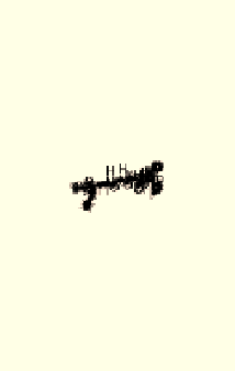 CC(C)(C)[C@H](c1cc(-c2cc(F)ccc2F)cn1Cc1ccccc1)N(CC[C@H](N)C(=O)NCCC(=O)NCCCC[C@H](NC(=O)CCCS(C)(C)C)C(=O)OCCS(C)(C)C)C(=O)CO